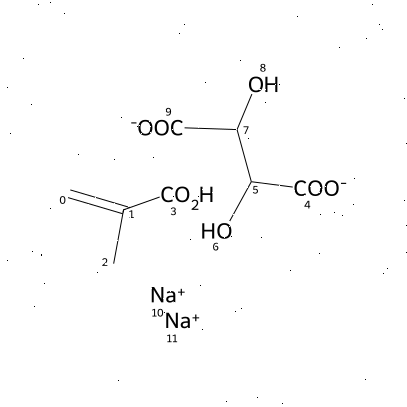 C=C(C)C(=O)O.O=C([O-])C(O)C(O)C(=O)[O-].[Na+].[Na+]